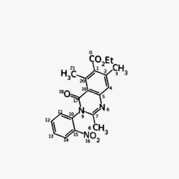 CCOC(=O)c1c(C)cc2nc(C)n(-c3ccccc3[N+](=O)[O-])c(=O)c2c1C